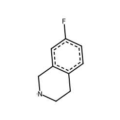 Fc1ccc2c(c1)C[N]CC2